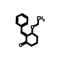 CCOC1CCCC(=O)C1=Cc1ccccc1